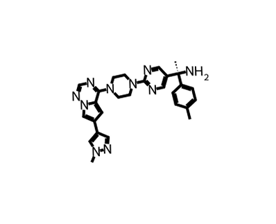 Cc1ccc([C@](C)(N)c2cnc(N3CCN(c4ncnn5cc(-c6cnn(C)c6)cc45)CC3)nc2)cc1